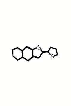 C1CCC2CC3SC(C4CCCS4)CC3CC2C1